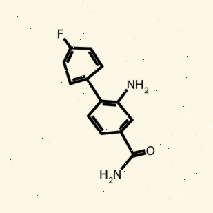 NC(=O)c1ccc(-c2ccc(F)cc2)c(N)c1